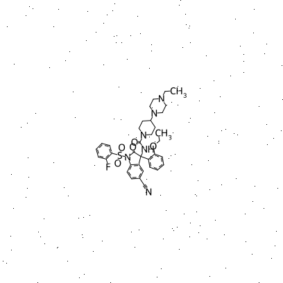 CCOc1ccccc1C1(NC(=O)N2CCC(N3CCN(CC)CC3)CC2)C(=O)N(S(=O)(=O)c2ccccc2F)c2ccc(C#N)cc21